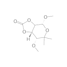 CO[C@@H]1OC(C)(C)[C@H](OC)[C@@H]2OC(=O)OC12